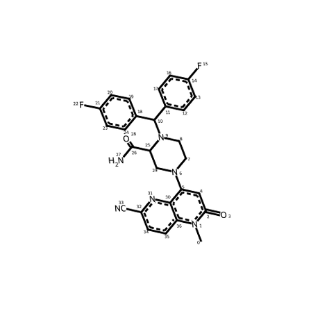 Cn1c(=O)cc(N2CCN(C(c3ccc(F)cc3)c3ccc(F)cc3)C(C(N)=O)C2)c2nc(C#N)ccc21